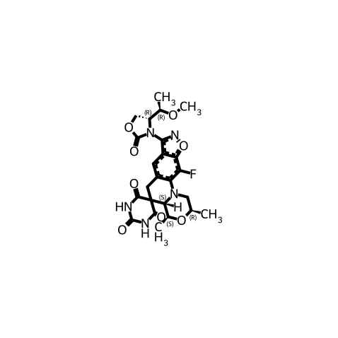 CO[C@H](C)[C@H]1COC(=O)N1c1noc2c(F)c3c(cc12)CC1(C(=O)NC(=O)NC1=O)[C@H]1[C@H](C)O[C@H](C)CN31